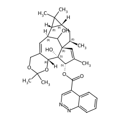 CC1=C[C@]23C(O)[C@@H](C=C4COC(C)(C)O[C@H]4[C@]2(O)[C@H]1OC(=O)c1cnnc2ccccc12)[C@H]1[C@@H](C[C@H]3C)C1(C)C